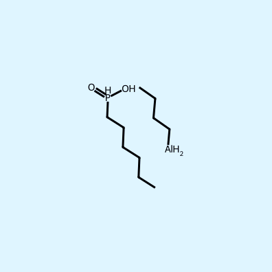 CCCCCC[PH](=O)O.CCC[CH2][AlH2]